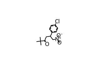 CC(C)(C)C(=O)CC(C[N+](=O)[O-])c1ccc(Cl)cc1